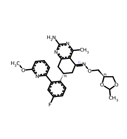 COc1cccc(-c2cc(F)ccc2[C@H]2C/C(=N\OC[C@H]3COC(C)O3)c3c(C)nc(N)nc3C2)n1